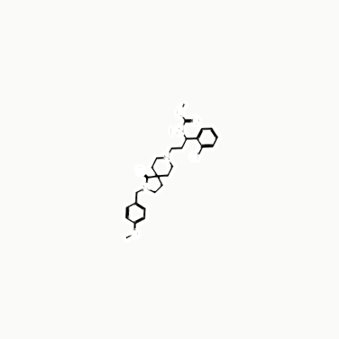 COC(=O)NC(CCN1CCC2(CC1)CCN(Cc1ccc(OC)cc1)C2=O)c1ccccc1Cl